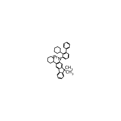 CC(C)N(c1cc2c(cc1C1CCCCC1)-c1ccccc1C2(C)C)c1cccc(-c2ccccc2)c1C1CCCCC1